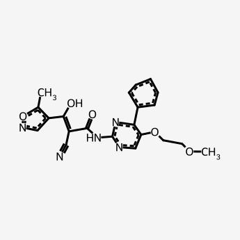 COCCOc1cnc(NC(=O)/C(C#N)=C(\O)c2cnoc2C)nc1-c1ccccc1